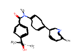 CCN(C(=O)c1ccc([C@](C)(O)C(F)(F)F)cc1)C1CCC(c2ccc(C#N)nc2)CC1